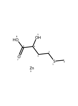 CSCCC(O)C(=O)O.[Zn]